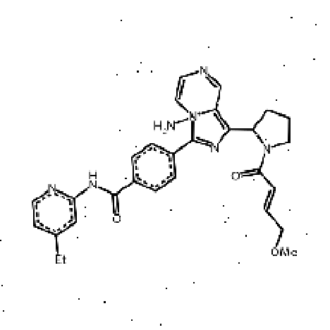 CCc1ccnc(NC(=O)c2ccc(C3=NC(C4CCCN4C(=O)C=CCOC)=C4C=NC=C[N+]34N)cc2)c1